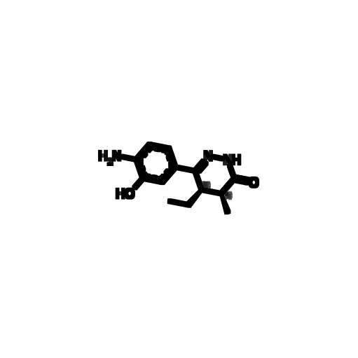 CC[C@H]1C(c2ccc(N)c(O)c2)=NNC(=O)[C@H]1C